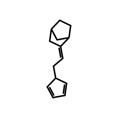 C1=CC(CC=C2CC3CCC2C3)C=C1